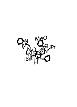 CC[C@H](C)[C@@H](C(=O)N[C@@H](Cc1ccccc1)[C@@H](O)CN(CC(C)C)S(=O)(=O)c1ccc(OC)cc1)N1CCN(Cc2nc3ccccc3n2C)C1=O